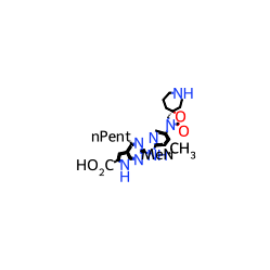 CCCCCc1nc(Nc2ccc(N3C[C@@]4(CCCNCC4)OC3=O)cn2)nc2[nH]c(C(=O)O)cc12.CNC